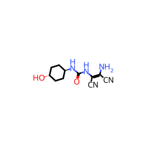 N#C/C(N)=C(\C#N)NC(=O)N[C@H]1CC[C@H](O)CC1